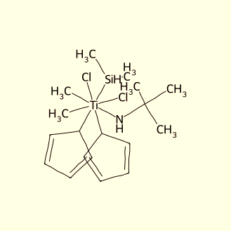 C[SiH](C)[Ti]([CH3])([CH3])([Cl])([Cl])([NH]C(C)(C)C)([CH]1C=CC=C1)[CH]1C=CC=C1